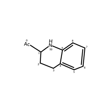 CC(=O)C1CCc2ccccc2N1